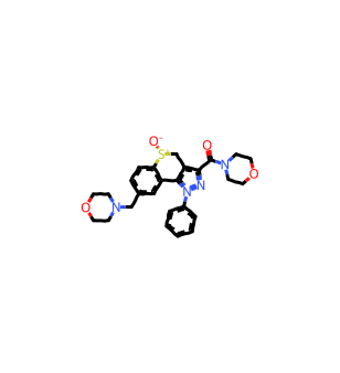 O=C(c1nn(-c2ccccc2)c2c1C[S+]([O-])c1ccc(CN3CCOCC3)cc1-2)N1CCOCC1